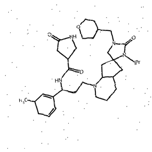 CC1C=C([C@H](CCN2CCCC3CC4(CC32)CN(CC2CCOCC2)C(=O)N4C(C)C)NC(=O)C2CNC(=O)C2)C=CC1